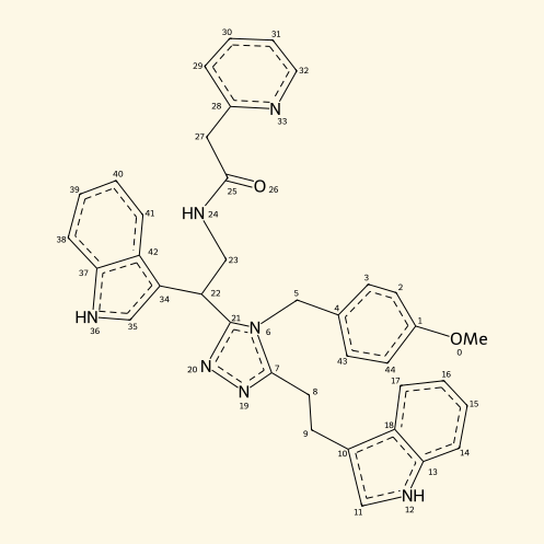 COc1ccc(Cn2c(CCc3c[nH]c4ccccc34)nnc2C(CNC(=O)Cc2ccccn2)c2c[nH]c3ccccc23)cc1